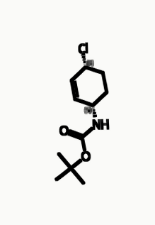 CC(C)(C)OC(=O)N[C@@H]1C=C[C@H](Cl)CC1